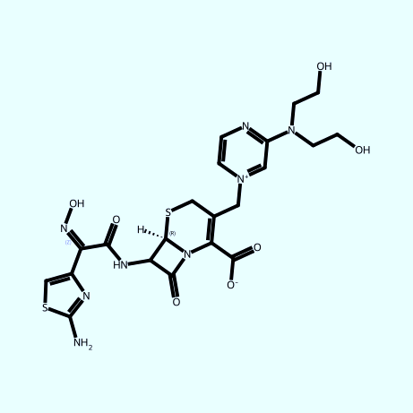 Nc1nc(/C(=N/O)C(=O)NC2C(=O)N3C(C(=O)[O-])=C(C[n+]4ccnc(N(CCO)CCO)c4)CS[C@H]23)cs1